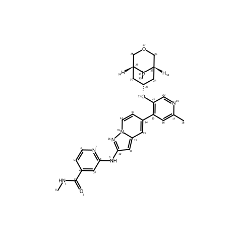 CNC(=O)c1ccnc(Nc2cc3cc(-c4cc(C)ncc4O[C@H]4C[C@H]5COC[C@@H](C4)N5C)ccn3n2)c1